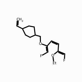 C=CC1CCC(COC(/C=C\C(=C\F)OCC)=C\F)CC1